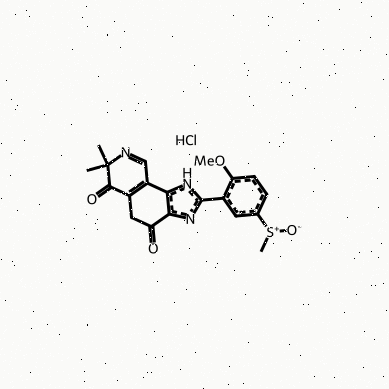 COc1ccc([S+](C)[O-])cc1-c1nc2c([nH]1)C1=C(CC2=O)C(=O)C(C)(C)N=C1.Cl